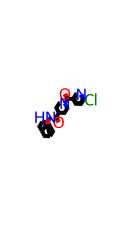 O=C(NC1C2CC3CC(C2)CC1C3)C1CCN(C(=O)c2ccc(Cl)nc2)CC1